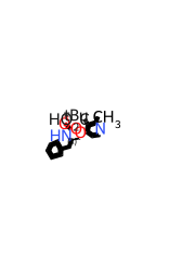 Cc1nccc(OC[C@@H](Cc2ccccc2)NC(=O)OC(C)(C)C)c1C(=O)O